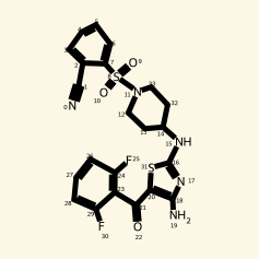 N#Cc1ccccc1S(=O)(=O)N1CCC(Nc2nc(N)c(C(=O)c3c(F)cccc3F)s2)CC1